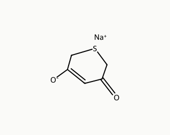 O=C1C=C([O-])CSC1.[Na+]